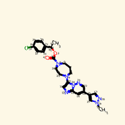 C[C@@H](OC(=O)N1CCCN(c2cnc3cc(-c4cnn(C)c4)cnn23)CC1)c1ccc(Cl)cc1